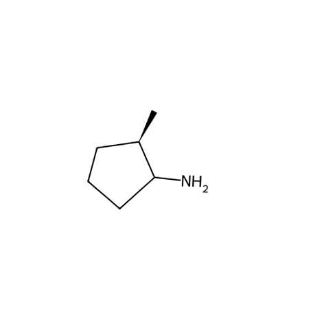 C[C@@H]1CCCC1N